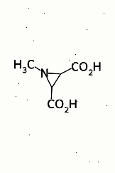 CN1C(C(=O)O)C1C(=O)O